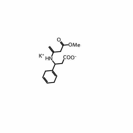 C=C(CC(=O)OC)NC(CC(=O)[O-])C1=CCC=CC1.[K+]